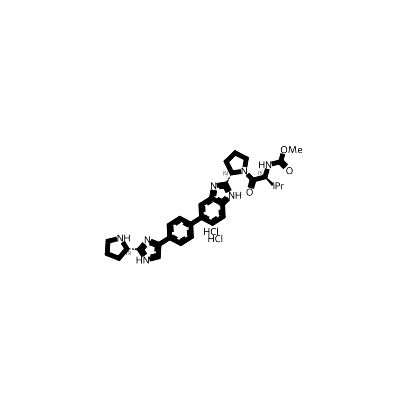 COC(=O)N[C@H](C(=O)N1CCC[C@H]1c1nc2cc(-c3ccc(-c4c[nH]c([C@@H]5CCCN5)n4)cc3)ccc2[nH]1)C(C)C.Cl.Cl